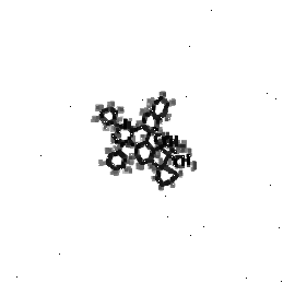 CC1(C)c2ccccc2-c2cccc(-c3cc4ccccc4cc3-c3nc(-c4ccccc4)nc(-c4ccccc4)n3)c2C1(C)C